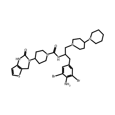 Nc1c(Br)cc(CC(CN2CCC(N3CCCCC3)CC2)NC(=O)N2CCC(N3Cc4sccc4NC3=O)CC2)cc1Br